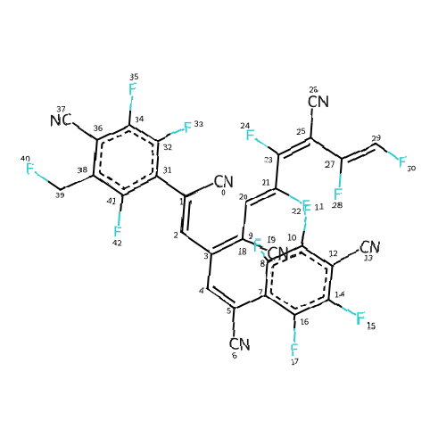 N#C\C(=C/C(/C=C(/C#N)c1c(F)c(F)c(C#N)c(F)c1F)=C(C#N)\C=C(F)\C(F)=C(C#N)/C(F)=C/F)c1c(F)c(F)c(C#N)c(CF)c1F